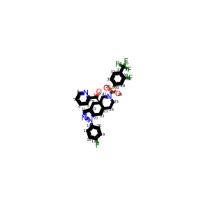 O=C(c1ccccn1)[C@]12Cc3cnn(-c4ccc(F)cc4)c3C=C1CCN(S(=O)(=O)c1ccc(C(F)(F)F)c(F)c1)C2